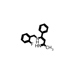 CC(=N)/C=C(\NCc1ccccc1F)c1ccccc1